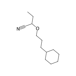 CCC(C#N)OCCCC1CCCCC1